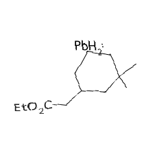 CCOC(=O)CC1CCCC(C)(C)C1.[PbH2]